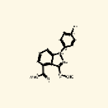 COC(=O)c1cccc2c1c(OC=O)nn2-c1ccc(F)cc1